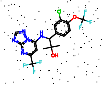 CC(C)(O)C(Nc1cc(C(F)(F)F)nc2ncnn12)c1ccc(OC(F)(F)F)c(Cl)c1